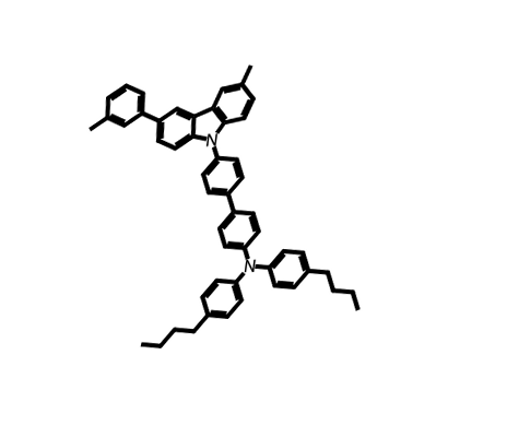 CCCCc1ccc(N(c2ccc(CCCC)cc2)c2ccc(-c3ccc(-n4c5ccc(C)cc5c5cc(-c6cccc(C)c6)ccc54)cc3)cc2)cc1